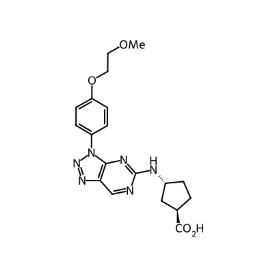 COCCOc1ccc(-n2nnc3cnc(N[C@@H]4CC[C@@H](C(=O)O)C4)nc32)cc1